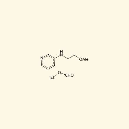 CCOC=O.COCCNc1cccnc1